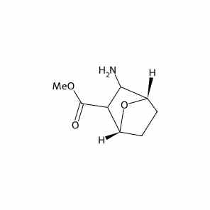 COC(=O)C1C(N)[C@@H]2CC[C@H]1O2